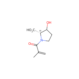 C=C(C)C(=O)N1CCC(O)[C@H]1C(=O)O